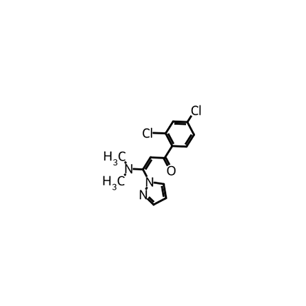 CN(C)C(=CC(=O)c1ccc(Cl)cc1Cl)n1cccn1